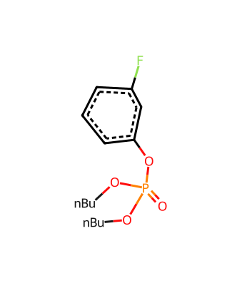 CCCCOP(=O)(OCCCC)Oc1cccc(F)c1